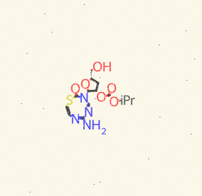 CC(C)OC(=O)O[C@@H]1C[C@@H](CO)O[C@H]1n1cnc(N)nccsc1=O